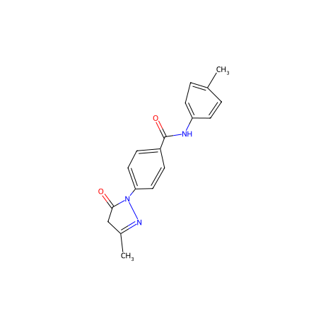 CC1=NN(c2ccc(C(=O)Nc3ccc(C)cc3)cc2)C(=O)C1